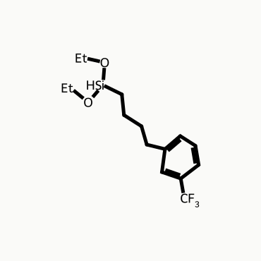 CCO[SiH](CCCCc1cccc(C(F)(F)F)c1)OCC